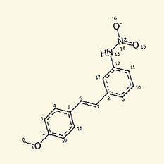 COc1ccc(/C=C/c2cccc(N[N+](=O)[O-])c2)cc1